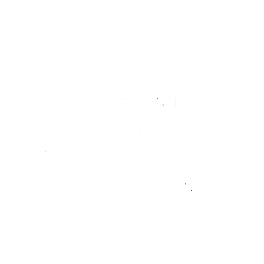 O=C1C=C(C23CCC(CC4(CCNC4=O)C2)N3)CO1